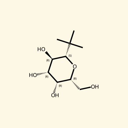 CC(C)(C)[C@@H]1O[C@H](CO)[C@H](O)[C@H](O)[C@H]1O